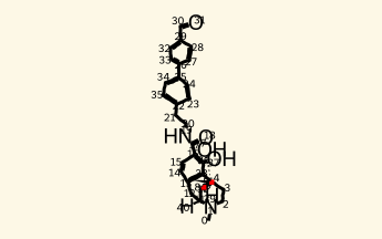 CN1CCC23C[C@@H](O)C=C[C@H]2[C@H]1Cc1ccc(C(=O)NCCc2ccc(-c4ccc(C=O)cc4)cc2)c(O)c13